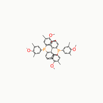 COc1c(C)cc(P(c2cc(C)c(OC)c(C)c2)c2cccc(C)c2-c2c(C)cccc2P(c2cc(C)c(OC)c(C)c2)c2cc(C)c(OC)c(C)c2)cc1C